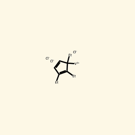 CCC1=C(CC)[C]([V+3])(CC)C=C1.[Cl-].[Cl-].[Cl-]